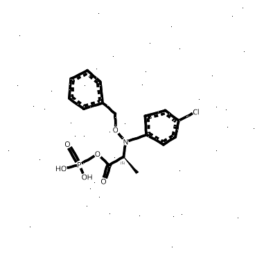 C[C@@H](C(=O)OP(=O)(O)O)N(OCc1ccccc1)c1ccc(Cl)cc1